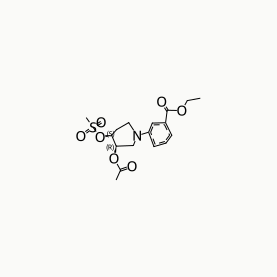 CCOC(=O)c1cccc(N2CC[C@H](OS(C)(=O)=O)[C@H](OC(C)=O)C2)c1